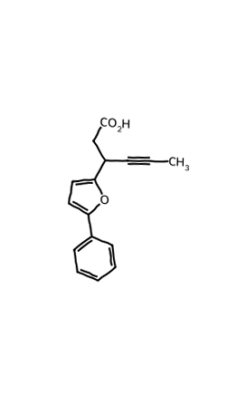 CC#CC(CC(=O)O)c1ccc(-c2ccccc2)o1